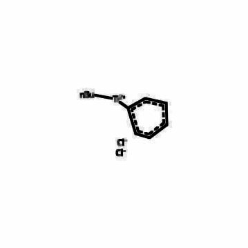 CCC[CH2][Ti+2][c]1ccccc1.[Cl-].[Cl-]